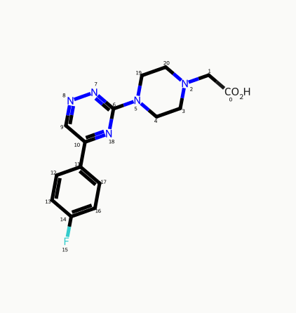 O=C(O)CN1CCN(c2nncc(-c3ccc(F)cc3)n2)CC1